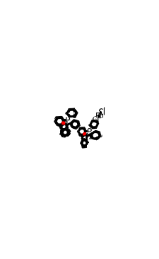 C1=CC(C2(P(C3CCCCC3)C3CCCCC3)CCCCC2)c2ccccc21.C1=CC(C2(P(C3CCCCC3)C3CCCCC3)CCCCC2)c2ccccc21.[Cl][Ru][Cl]